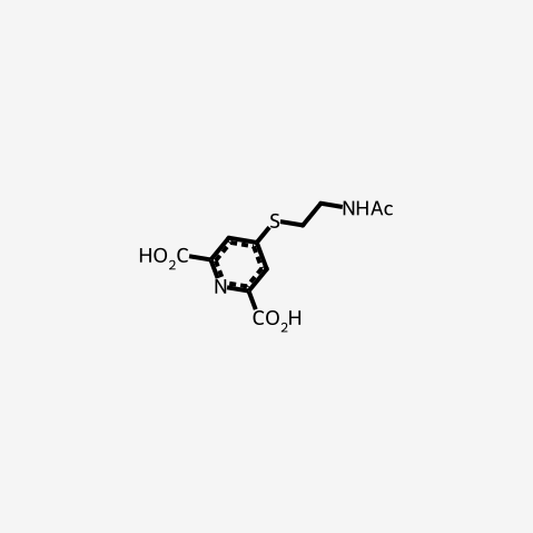 CC(=O)NCCSc1cc(C(=O)O)nc(C(=O)O)c1